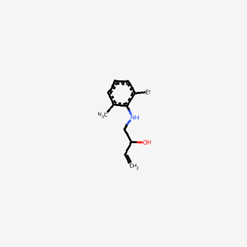 C=CC(O)CNc1c(C)cccc1CC